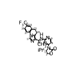 CC(C)[C@H]1COC(=O)N1c1ccnc(N[C@@H](C)c2ncn3c2CCc2cc(C(F)(F)F)ccc2-3)n1